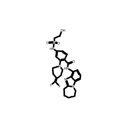 O=C(Nc1cccc2c1nc1n2CCCCC1)c1ccc(NS(=O)(=O)CCO)cc1N1CCC(=C(F)F)CC1